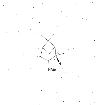 CNC1CC2CC([C@@H]1C)C2(C)C